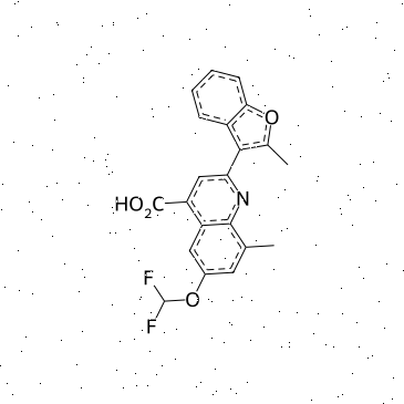 Cc1oc2ccccc2c1-c1cc(C(=O)O)c2cc(OC(F)F)cc(C)c2n1